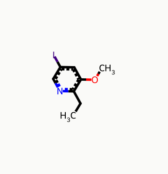 CCc1ncc(I)cc1OC